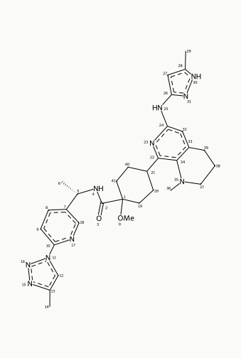 COC1(C(=O)N[C@@H](C)c2ccc(-n3cc(C)nn3)nc2)CCC(c2nc(Nc3cc(C)[nH]n3)cc3c2N(C)CCC3)CC1